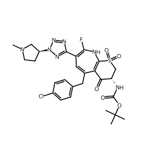 CN1CC[C@H](n2nnc(C3=C(F)NC4=C(C(=O)[C@@H](NC(=O)OC(C)(C)C)CS4(=O)=O)C(Cc4ccc(Cl)cc4)=C3)n2)C1